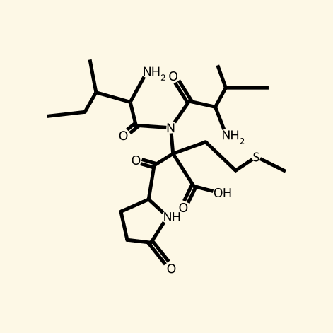 CCC(C)C(N)C(=O)N(C(=O)C(N)C(C)C)C(CCSC)(C(=O)O)C(=O)C1CCC(=O)N1